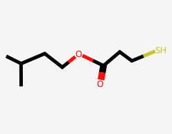 CC(C)CCOC(=O)CCS